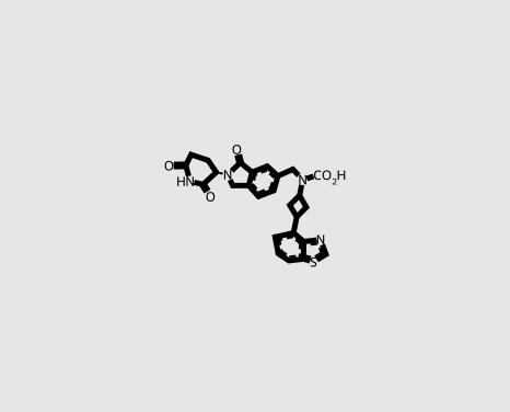 O=C1CC[C@H](N2Cc3ccc(CN(C(=O)O)C4CC(c5cccc6scnc56)C4)cc3C2=O)C(=O)N1